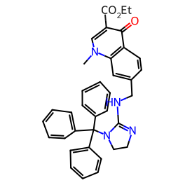 CCOC(=O)c1cn(C)c2cc(CNC3=NCCN3C(c3ccccc3)(c3ccccc3)c3ccccc3)ccc2c1=O